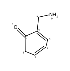 NCC1=CC=CCC1=O